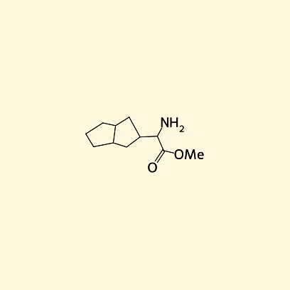 COC(=O)C(N)C1CC2CCCC2C1